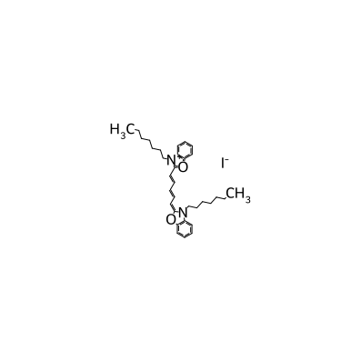 CCCCCCCN1C(=CC=CC=Cc2oc3ccccc3[n+]2CCCCCCC)Oc2ccccc21.[I-]